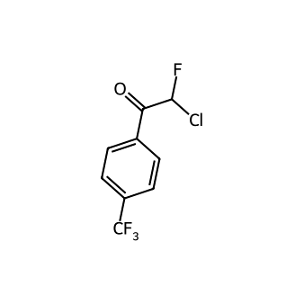 O=C(c1ccc(C(F)(F)F)cc1)C(F)Cl